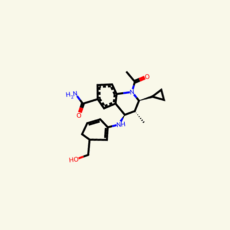 CC(=O)N1c2ccc(C(N)=O)cc2[C@H](NC2=CC(CO)CC=C2)[C@@H](C)[C@@H]1C1CC1